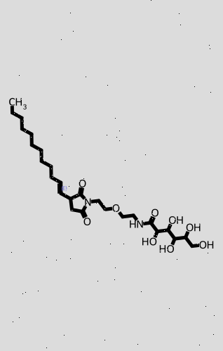 CCCCCCCCCC/C=C/C1CC(=O)N(CCOCCNC(=O)C(O)C(O)C(O)C(O)CO)C1=O